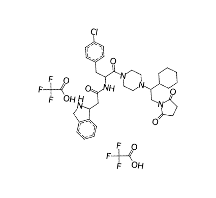 O=C(CC1NCc2ccccc21)NC(Cc1ccc(Cl)cc1)C(=O)N1CCN(C(CN2C(=O)CCC2=O)C2CCCCC2)CC1.O=C(O)C(F)(F)F.O=C(O)C(F)(F)F